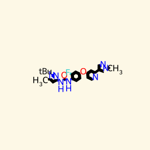 Cc1cc(NC(=O)Nc2ccc(Oc3ccnc(-c4cnn(C)c4)c3)cc2F)nn1C(C)(C)C